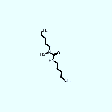 CCCCCNC(=O)N(S)CCCCC